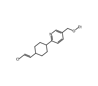 CCOCc1ccc(C2CCC(/C=C/Cl)CC2)nc1